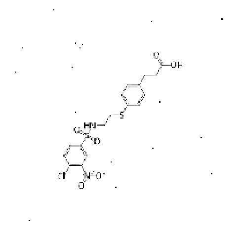 O=C(O)CCc1ccc(SCCNS(=O)(=O)c2ccc(Cl)c([N+](=O)[O-])c2)cc1